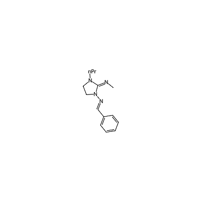 CCCN1CCN(N=Cc2ccccc2)C1=NC